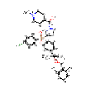 CC(=O)N1CCC(C(=O)N2CC[C@](c3ccc(C(OCc4c(C)cccc4C)(C(F)(F)F)C(F)(F)F)cc3)(S(=O)(=O)c3ccc(F)cc3)C2)CC1